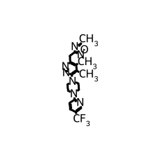 Cc1nc(Cc2nnc(N3CCN(c4ccc(C(F)(F)F)cn4)CC3)c(C)c2C)no1